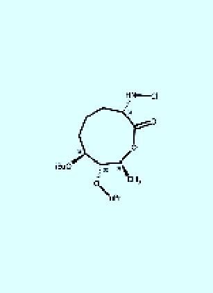 CCCO[C@H]1[C@H](C)OC(=O)[C@@H](NCl)CCC[C@@H]1OCC(C)C